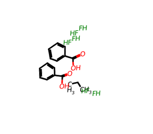 CCC.F.F.F.F.F.F.O=C(O)c1ccccc1.O=C(O)c1ccccc1